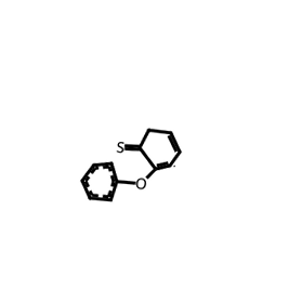 S=C1CC=C[C]=C1Oc1ccccc1